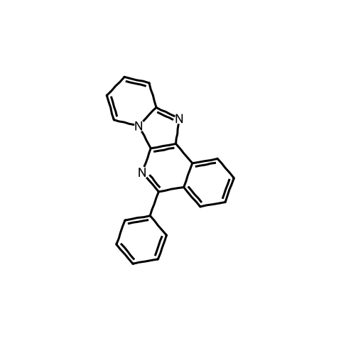 c1ccc(-c2nc3c(nc4ccccn43)c3ccccc23)cc1